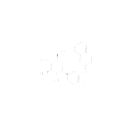 OC[C@H]1O[C@@H](c2ccc(Cl)c(OC3CCc4ccccc4C3)c2)[C@H](O)[C@@H](O)[C@@H]1O